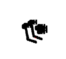 CCCCCCCC/C=C\CCCCCCCCCCCC(=O)O.CCCCCCCC/C=C\CCCCCCCCCCCC(=O)O.OCC(O)CO.OCC(O)CO